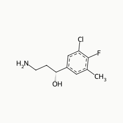 Cc1cc([C@H](O)CCN)cc(Cl)c1F